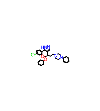 O=C(Oc1ccccc1)C(CCN1CCN(c2ccccc2)CC1)c1cn[nH]c1-c1ccc(Cl)cc1